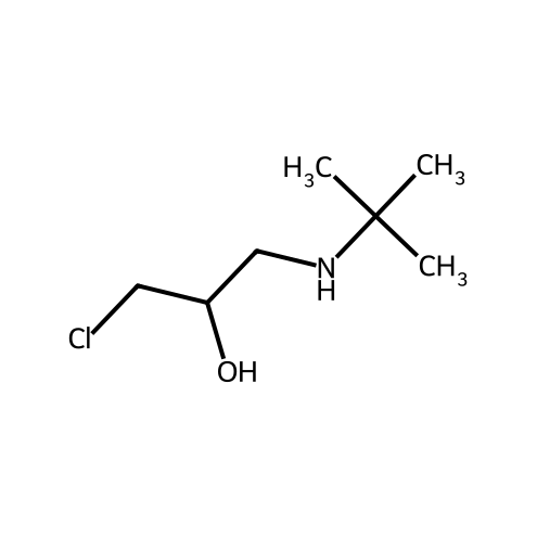 CC(C)(C)NCC(O)CCl